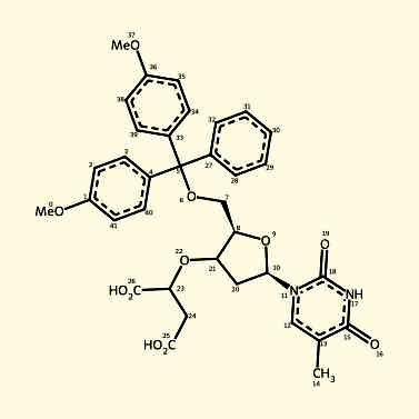 COc1ccc(C(OC[C@H]2O[C@@H](n3cc(C)c(=O)[nH]c3=O)CC2OC(CC(=O)O)C(=O)O)(c2ccccc2)c2ccc(OC)cc2)cc1